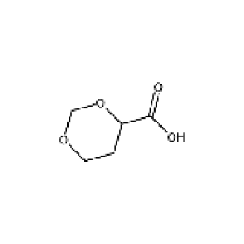 O=C(O)C1CCOCO1